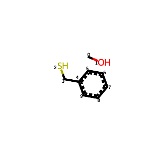 CO.SCc1ccccc1